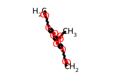 C=CC(=O)OCCCCCCOc1ccc(C(=O)Oc2ccc(OC(=O)c3ccc(OCCCCCCOC(=O)C=C)cc3)c(C(=O)OCCCC)c2)cc1